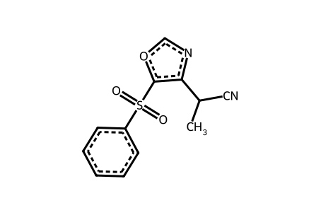 CC(C#N)c1ncoc1S(=O)(=O)c1ccccc1